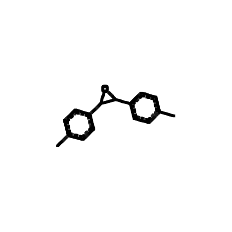 Cc1ccc(C2OC2c2ccc(C)cc2)cc1